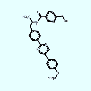 CCCCCCCOc1ccc(-c2cnc(-c3ccc(CC(NC(=O)c4ccc(CO)cc4)C(=O)O)cc3)nc2)cc1